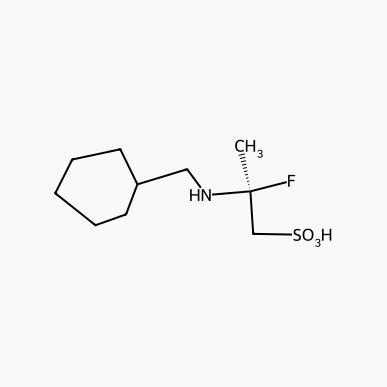 C[C@](F)(CS(=O)(=O)O)NCC1CCCCC1